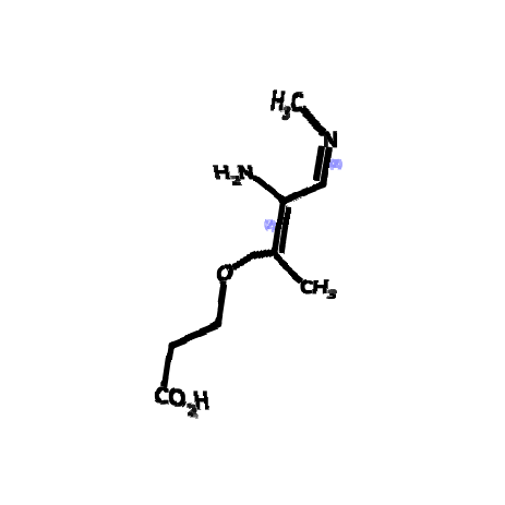 C/N=C\C(N)=C(/C)OCCC(=O)O